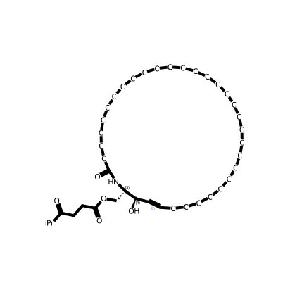 CC(C)C(=O)CCC(=O)OC[C@@H]1NC(=O)CCCCCCCCCCCCCCCCCCCCCCCCCCCC/C=C/[C@H]1O